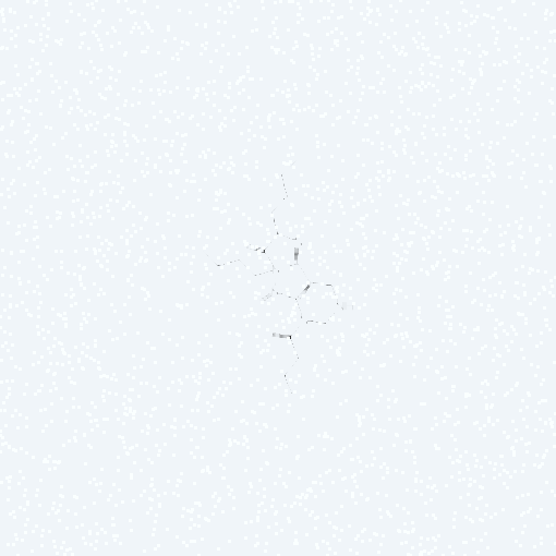 CCCCC1N=C2C3=C(N(C(=O)CCC)CNC3)[N+](=O)[N+]2(CCCC)C1=O